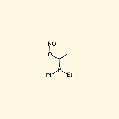 CCP(CC)C(C)ON=O